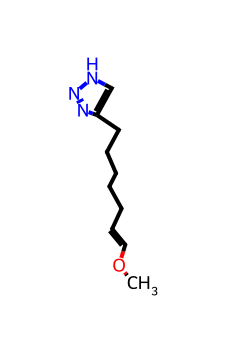 COC=CCCCCCc1c[nH]nn1